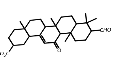 CC12CCC(C(=O)O)CC1C1=CC(=O)C3C(C)(CCC4C(C)(C)C(C=O)CCC43C)C1CC2